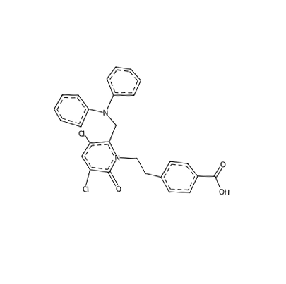 O=C(O)c1ccc(CCn2c(CN(c3ccccc3)c3ccccc3)c(Cl)cc(Cl)c2=O)cc1